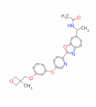 CC(=O)NC(C)c1ccc2nc(-c3ccc(Oc4cccc(OCC5(C)COC5)c4)cn3)oc2c1